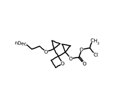 CCCCCCCCCCCCOC1(C2(C3(OC(=O)OC(C)Cl)CC3)CCO2)CC1